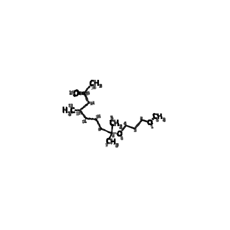 COCCCOC(C)(C)CCCC(C)CC(C)=O